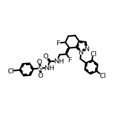 O=C(NCC(F)=C1c2c(cnn2Cc2ccc(Cl)cc2Cl)CCC1F)NS(=O)(=O)c1ccc(Cl)cc1